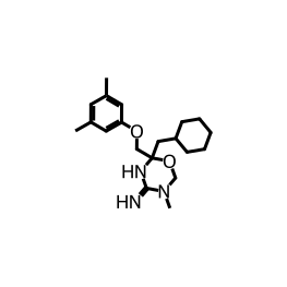 Cc1cc(C)cc(OCC2(CC3CCCCC3)NC(=N)N(C)CO2)c1